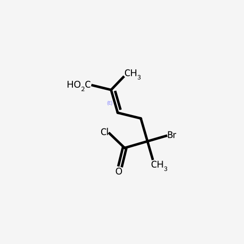 C/C(=C\CC(C)(Br)C(=O)Cl)C(=O)O